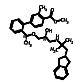 COC(=O)c1ccc(-c2ccccc2[C@@H](C)OC[C@@H](O)CNC(C)(C)CC2Cc3ccccc3C2)cc1C